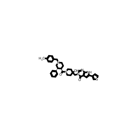 Cc1ccc(CN2CC[C@@H](C(=O)N3CCC(O)(Cn4cnc5[nH]c(-c6ccsc6)cc5c4=O)CC3)[C@H](c3ccccc3)C2)cc1